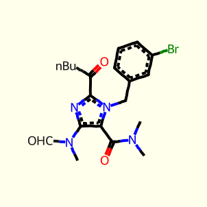 CCCCC(=O)c1nc(N(C)C=O)c(C(=O)N(C)C)n1Cc1cccc(Br)c1